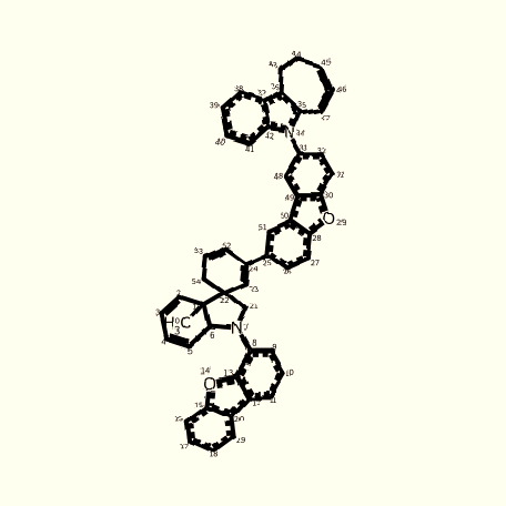 CC12C=CC=CC1N(c1cccc3c1oc1ccccc13)CC21C=C(c2ccc3oc4ccc(-n5c6c(c7ccccc75)CCC=C=C6)cc4c3c2)C=CC1